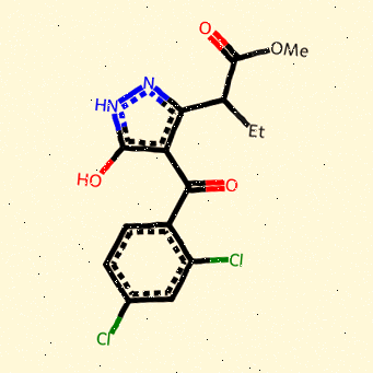 CCC(C(=O)OC)c1n[nH]c(O)c1C(=O)c1ccc(Cl)cc1Cl